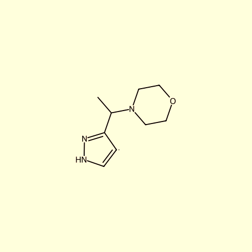 CC(c1[c]c[nH]n1)N1CCOCC1